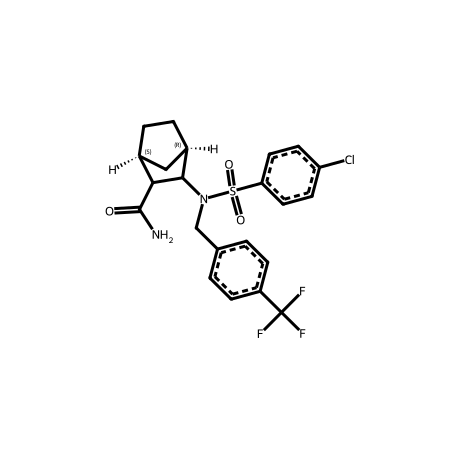 NC(=O)C1C(N(Cc2ccc(C(F)(F)F)cc2)S(=O)(=O)c2ccc(Cl)cc2)[C@@H]2CC[C@H]1C2